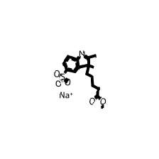 COC(=O)CCCCC1(C)C(C)=Nc2ccc(S(=O)(=O)[O-])cc21.[Na+]